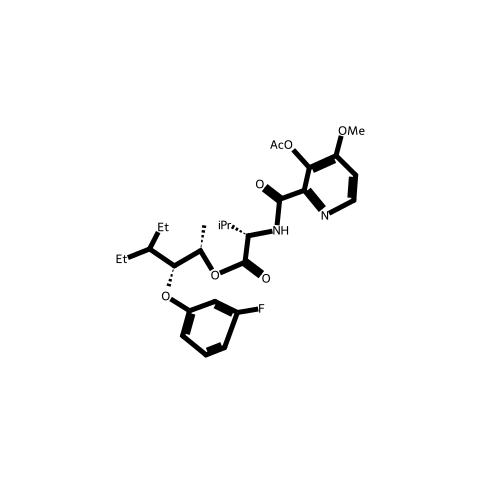 CCC(CC)[C@@H](Oc1cccc(F)c1)[C@H](C)OC(=O)[C@@H](NC(=O)c1nccc(OC)c1OC(C)=O)C(C)C